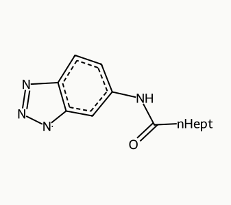 CCCCCCCC(=O)Nc1ccc2c(c1)[N]N=N2